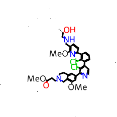 COC(=O)CCN1CCc2cc(-c3nccc(-c4cccc(-c5ccc(CNC[C@H](C)O)c(OC)n5)c4Cl)c3Cl)cc(OC)c2C1